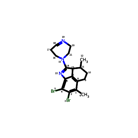 Cc1c(Br)c(Br)c2c3c1CCC(C)C3C(N1CCC=NCC1)=N2